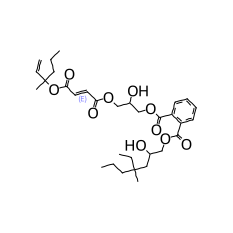 C=CC(C)(CCC)OC(=O)/C=C/C(=O)OCC(O)COC(=O)c1ccccc1C(=O)OCC(O)CC(C)(CC)CCC